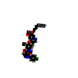 CCOc1cc2c(Oc3ccc(NC(=O)C4(C(=O)Nc5ccc(F)cc5)CC4)cc3F)ccnc2cc1OCCCCC(=O)[O-].[K+]